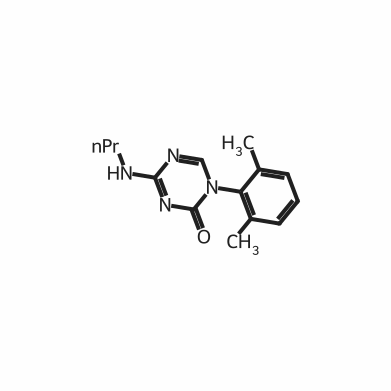 CCCNc1ncn(-c2c(C)cccc2C)c(=O)n1